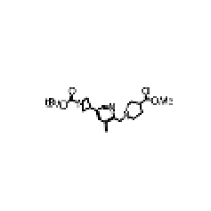 COC(=O)C1CCN(Cc2ncc(C3CN(C(=O)OC(C)(C)C)C3)cc2C)CC1